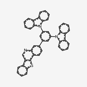 c1ccc2c(c1)sc1c3ccc(-c4cc(-n5c6ccccc6c6ccccc65)cc(-n5c6ccccc6c6ccccc65)c4)cc3ncc21